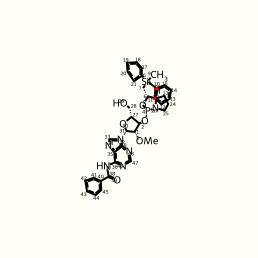 CO[C@H]1C(O[P@@]2O[C@H](C[Si](C)(c3ccccc3)c3ccccc3)[C@@H]3CCCN32)[C@@H](CO)O[C@H]1n1cnc2c(NC(=O)c3ccccc3)ncnc21